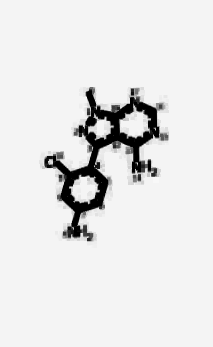 Cn1nc(-c2ccc(N)cc2Cl)c2c(N)ncnc21